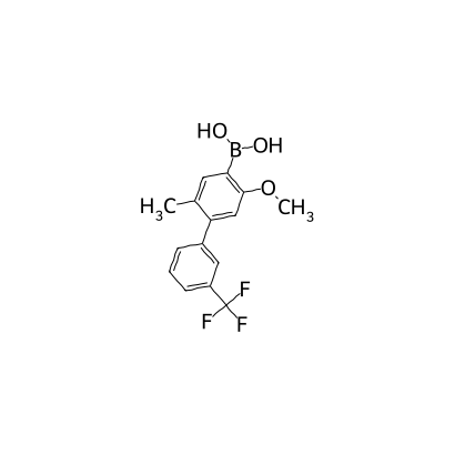 COc1cc(-c2cccc(C(F)(F)F)c2)c(C)cc1B(O)O